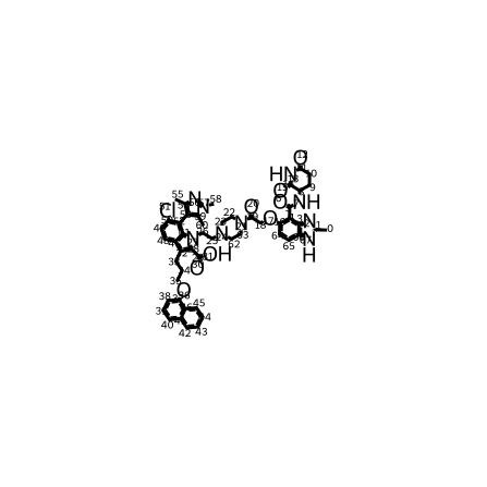 Cc1nc2c(C(=O)NC3CCC(=O)NC3=O)c(OCC(=O)N3CCN(CCn4c(C(=O)O)c(CCCOc5cccc6ccccc56)c5ccc(Cl)c(-c6c(C)nn(C)c6C)c54)CC3)ccc2[nH]1